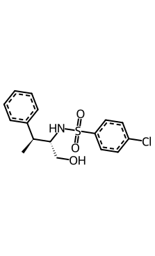 C[C@@H](c1ccccc1)[C@@H](CO)NS(=O)(=O)c1ccc(Cl)cc1